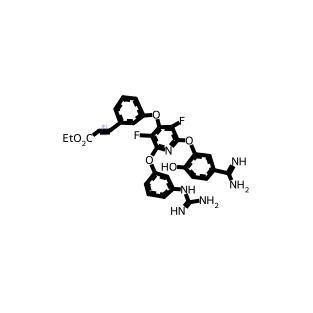 CCOC(=O)/C=C/c1cccc(Oc2c(F)c(Oc3cccc(NC(=N)N)c3)nc(Oc3cc(C(=N)N)ccc3O)c2F)c1